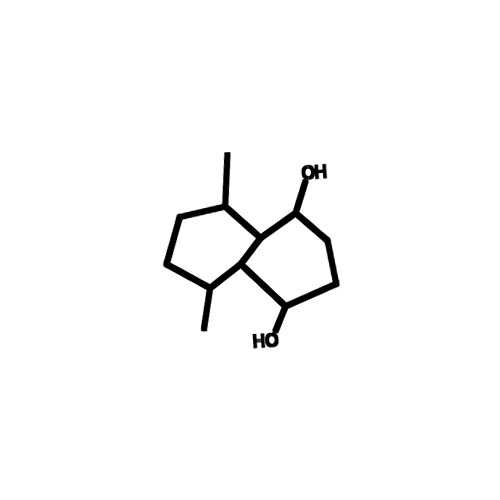 CC1CCC(C)C2C(O)CCC(O)C12